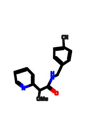 COC(C(=O)NCc1ccc(C#N)cc1)c1ccccn1